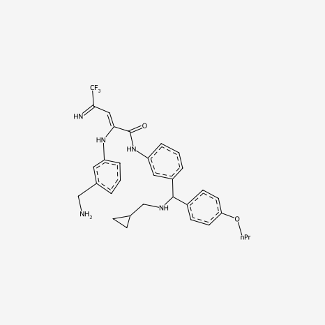 CCCOc1ccc(C(NCC2CC2)c2cccc(NC(=O)/C(=C/C(=N)C(F)(F)F)Nc3cccc(CN)c3)c2)cc1